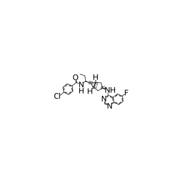 CCC(NC(=O)c1ccc(Cl)cc1)[C@H]1[C@@H]2C[C@@H](Nc3ncnc4ccc(F)cc34)C[C@@H]21